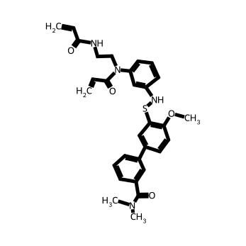 C=CC(=O)NCCN(C(=O)C=C)c1cccc(NSc2cc(-c3cccc(C(=O)N(C)C)c3)ccc2OC)c1